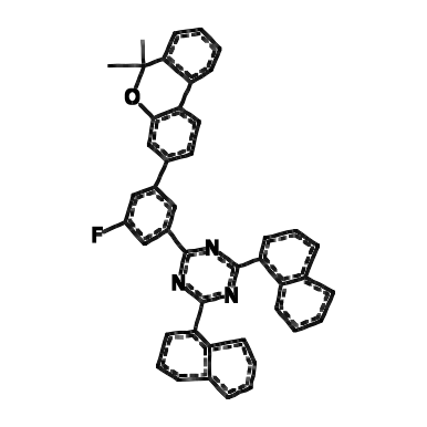 CC1(C)Oc2cc(-c3cc(F)cc(-c4nc(-c5cccc6ccccc56)nc(-c5cccc6ccccc56)n4)c3)ccc2-c2ccccc21